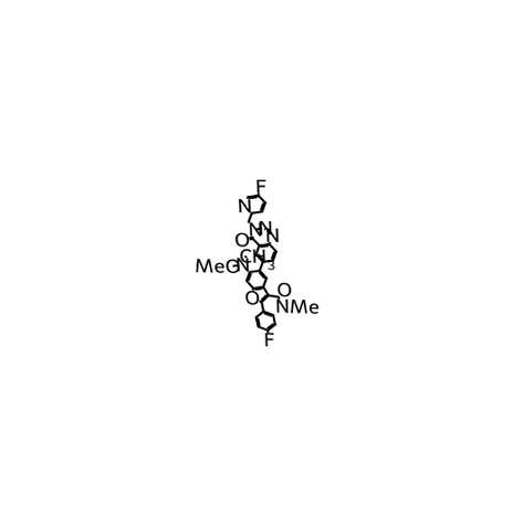 CNC(=O)c1c(-c2ccc(F)cc2)oc2cc(N(C)OC)c(-c3ccc4nnn(Cc5ccc(F)cn5)c(=O)c4c3)cc12